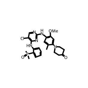 COc1cc(N2CCC(=O)CC2)c(C)cc1Nc1ncc(Cl)c(Nc2ccccc2P(C)(C)=O)n1